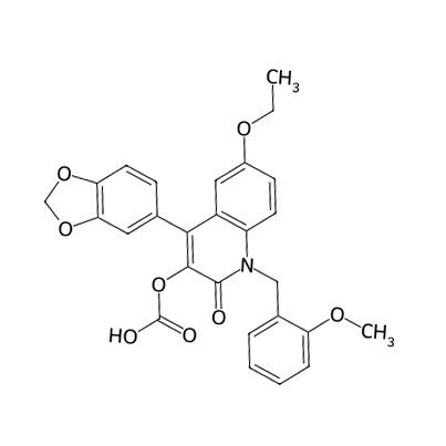 CCOc1ccc2c(c1)c(-c1ccc3c(c1)OCO3)c(OC(=O)O)c(=O)n2Cc1ccccc1OC